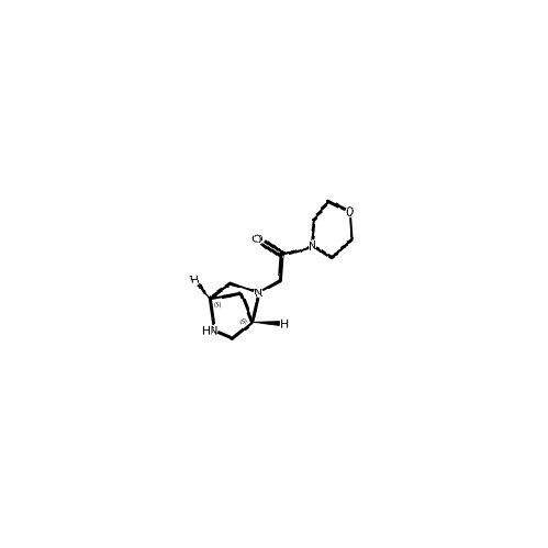 O=C(CN1C[C@@H]2C[C@H]1CN2)N1CCOCC1